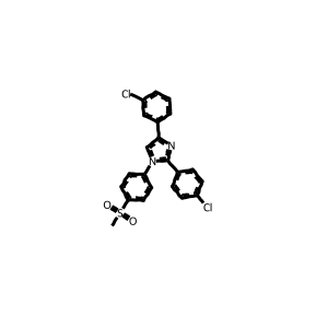 CS(=O)(=O)c1ccc(-n2cc(-c3cccc(Cl)c3)nc2-c2ccc(Cl)cc2)cc1